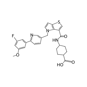 COc1cc(F)cc(-c2ccc(Cn3ccc4scc(C(=O)NC5CCC(C(=O)O)CC5)c43)cn2)c1